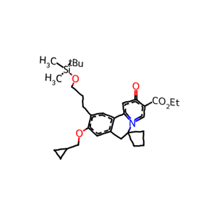 CCOC(=O)c1cn2c(cc1=O)-c1cc(CCCO[Si](C)(C)C(C)(C)C)c(OCC3CC3)cc1CC21CCC1